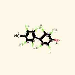 N#Cc1c(F)c(F)c(-c2c(F)c(F)c(Br)c(F)c2F)c(F)c1F